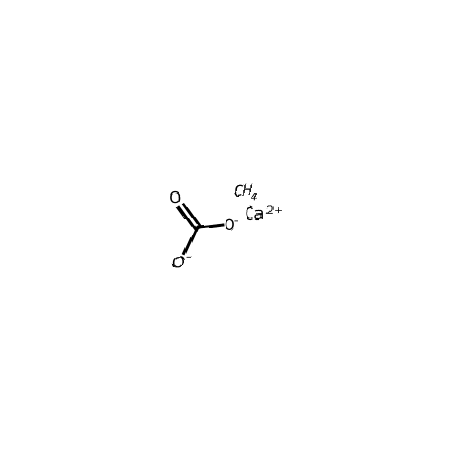 C.O=C([O-])[O-].[Ca+2]